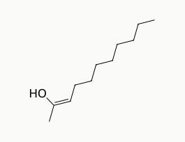 CCCCCCCC/C=C(/C)O